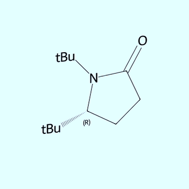 CC(C)(C)[C@H]1CCC(=O)N1C(C)(C)C